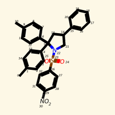 Cc1ccc(C2(c3ccc(C)cc3)CC(c3ccccc3)CN2S(=O)(=O)c2ccc([N+](=O)[O-])cc2)cc1